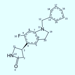 O=C1C[C@H](c2cc3c(cc2F)N(Cc2ccccc2)CC3)CN1